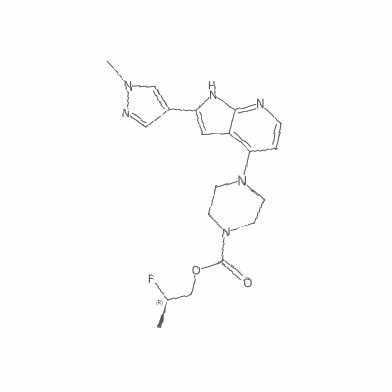 C[C@@H](F)COC(=O)N1CCN(c2ccnc3[nH]c(-c4cnn(C)c4)cc23)CC1